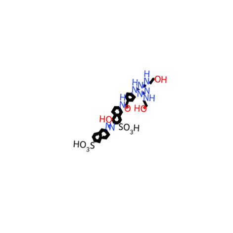 O=C(Nc1ccc2c(O)c(/N=N/c3ccc4cc(S(=O)(=O)O)ccc4c3)c(S(=O)(=O)O)cc2c1)c1ccc(Nc2nc(NCCO)nc(NCCO)n2)cc1